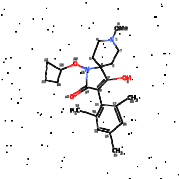 CON1CCC2(CC1)C(O)=C(c1c(C)cc(C)cc1C)C(=O)N2OC1CCC1